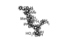 CCC(C)[C@@H]([C@@H](CC(=O)N1CCC[C@H]1[C@H](OC)[C@@H](C)C(=O)NC(Cc1ccccc1)C(=O)O)OC)N(C)C(=O)[C@@H](NC(=O)[C@H](C(C)C)N(C)C(=O)OCc1ccc(O[C@@H]2O[C@H](C(=O)O)[C@@H](O)[C@H](O)C2O)c(C(=O)NCCOC(C)(C)N)c1)C(C)C